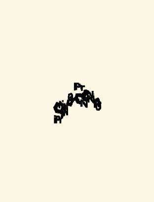 CC(C)c1nn(C2COC(c3cnc4c(c3)c(C(C)C)nn4[C@@H]3CCOC3)C2)c2ncccc12